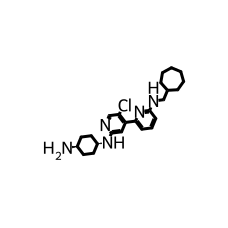 N[C@H]1CC[C@H](Nc2cc(-c3cccc(NCC4CCCCCC4)n3)c(Cl)cn2)CC1